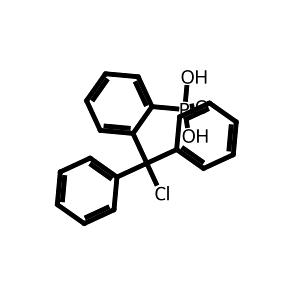 O=P(O)(O)c1ccccc1C(Cl)(c1ccccc1)c1ccccc1